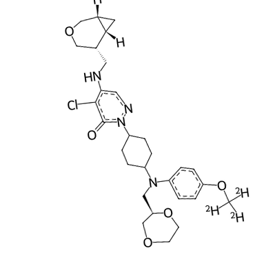 [2H]C([2H])([2H])Oc1ccc(N(C[C@@H]2COCCO2)C2CCC(n3ncc(NC[C@@H]4COC[C@@H]5C[C@H]45)c(Cl)c3=O)CC2)cc1